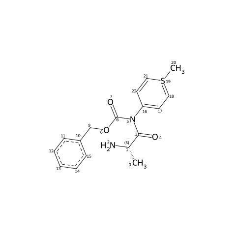 C[C@H](N)C(=O)N(C(=O)OCc1ccccc1)C1=CC=S(C)C=C1